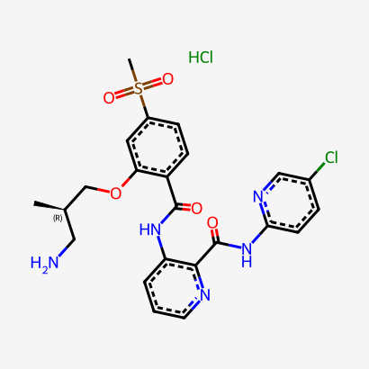 C[C@H](CN)COc1cc(S(C)(=O)=O)ccc1C(=O)Nc1cccnc1C(=O)Nc1ccc(Cl)cn1.Cl